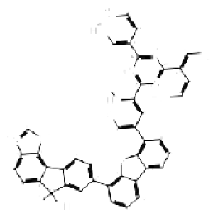 CB/C(=C\C(=C/C)c1cccc2c1sc1c(-c3ccc4c(c3)C(C)(C)c3ccc5ncsc5c3-4)cccc12)c1nc(C(/C=C\C)=C/C)nc(C(/C=C\C)=C/C)n1